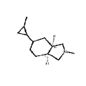 CC1CC1C1CC[C@@H]2CN(C)C[C@@H]2C1